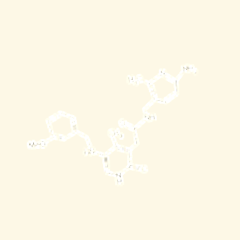 COc1cccc(CNc2c[nH]c(=O)c(CC(=O)NCc3ccc(N)nc3C)c2C)c1